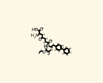 CCOC(=O)[C@H](C)C[C@@H](Cc1ccc(-c2ccccc2)cc1)NC(=O)CCC(=O)C[C@H](N)C(=O)O